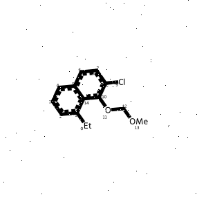 CCc1cccc2ccc(Cl)c(OCOC)c12